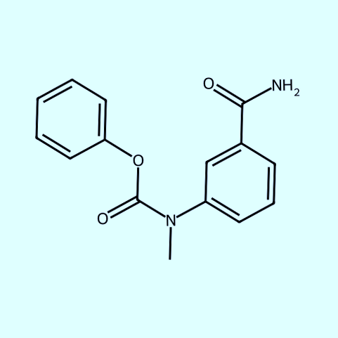 CN(C(=O)Oc1ccccc1)c1cccc(C(N)=O)c1